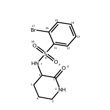 O=C1NCCCC1NS(=O)(=O)c1ccccc1Br